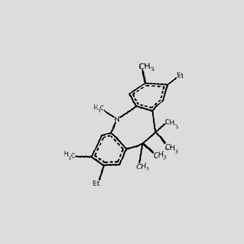 CCc1cc2c(cc1C)N(C)c1cc(C)c(CC)cc1C(C)(C)C2(C)C